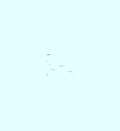 CC(C)=C/C=C1\C=C(C(=O)O)NC(C(=O)O)C1